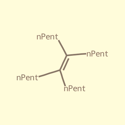 CCCCCC(CCCCC)=C(CCCCC)CCCCC